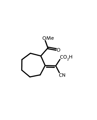 COC(=O)C1CCCCC/C1=C(\C#N)C(=O)O